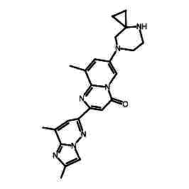 Cc1cn2nc(-c3cc(=O)n4cc(N5CCNC6(CC6)C5)cc(C)c4n3)cc(C)c2n1